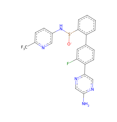 Nc1cnc(-c2ccc(-c3ccccc3[S+]([O-])Nc3ccc(C(F)(F)F)nc3)cc2F)cn1